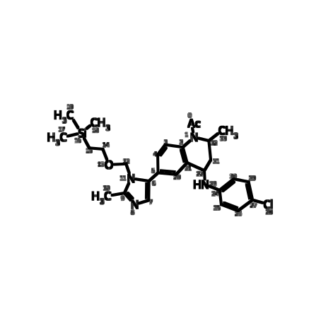 CC(=O)N1c2ccc(-c3cnc(C)n3COCC[Si](C)(C)C)cc2C(Nc2ccc(Cl)cc2)CC1C